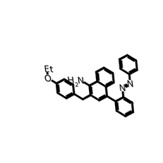 CCOc1ccc(Cc2cc(-c3ccccc3N=Nc3ccccc3)c3ccccc3c2N)cc1